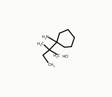 CCC(C)(C)C1(N)CCCCC1.Cl